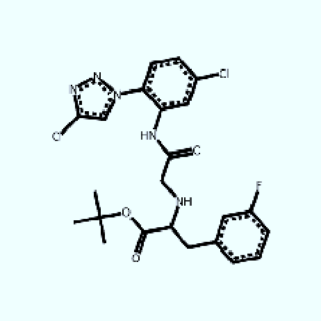 CC(C)(C)OC(=O)C(Cc1cccc(F)c1)NCC(=O)Nc1cc(Cl)ccc1-n1cc(Cl)nn1